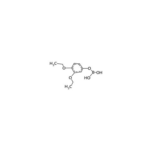 CCOc1ccc(OB(O)O)cc1OCC